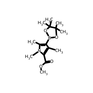 COC(=O)c1c(C)c(B2OC(C)(C)C(C)(C)O2)c(C)n1C